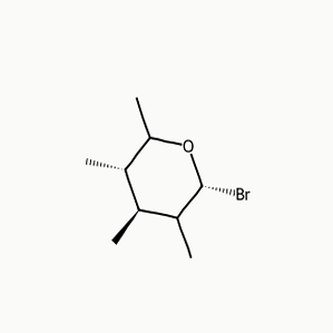 CC1O[C@H](Br)C(C)[C@@H](C)[C@@H]1C